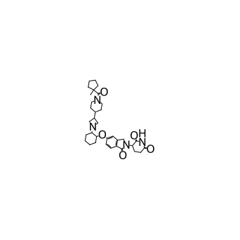 CC1(C(=O)N2CCC(C3CN([C@H]4CCCC[C@@H]4Oc4ccc5c(c4)CN(C4CCC(=O)NC4=O)C5=O)C3)CC2)CCCC1